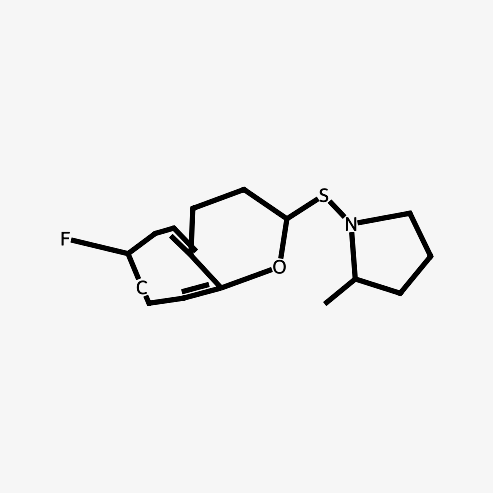 CC1CCCN1SC1CCC2=C\CC(F)CC/C=C\2O1